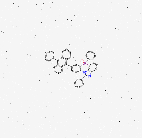 O=P1(c2ccccc2)c2cc(-c3c4ccccc4c(-c4ccccc4)c4ccccc34)ccc2-n2c(-c3ccccc3)nc3cccc1c32